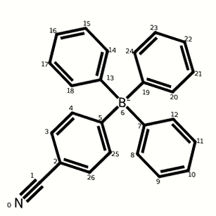 N#Cc1ccc([B-](c2ccccc2)(c2ccccc2)c2ccccc2)cc1